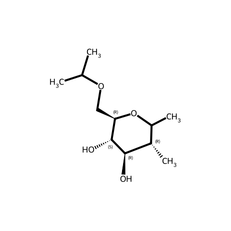 CC(C)OC[C@H]1OC(C)[C@H](C)[C@@H](O)[C@@H]1O